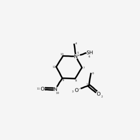 CC(=O)[O-].C[N+]1(S)CCC(N=O)CC1